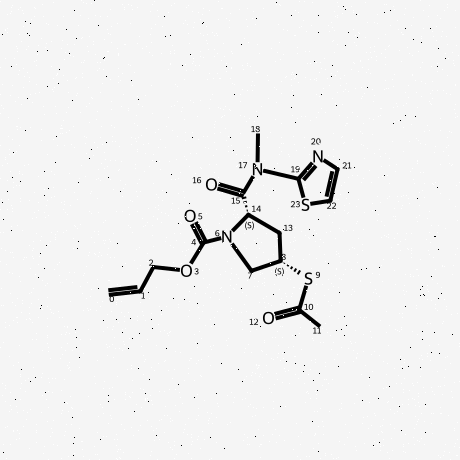 C=CCOC(=O)N1C[C@@H](SC(C)=O)C[C@H]1C(=O)N(C)c1nccs1